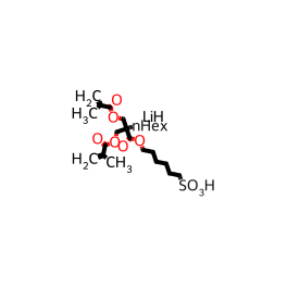 C=C(C)C(=O)OCC(CCCCCC)(COC(=O)C(=C)C)C(=O)OCCCCCCS(=O)(=O)O.[LiH]